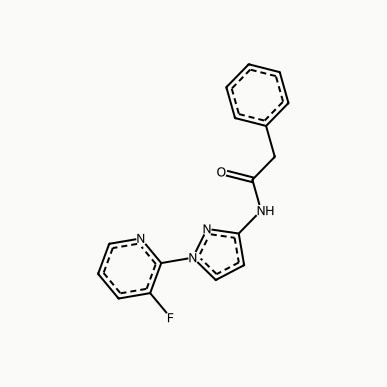 O=C(Cc1ccccc1)Nc1ccn(-c2ncccc2F)n1